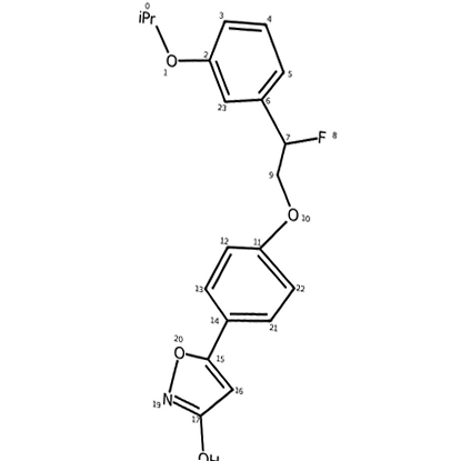 CC(C)Oc1cccc(C(F)COc2ccc(-c3cc(O)no3)cc2)c1